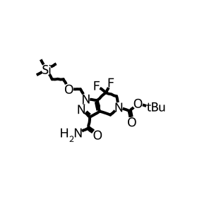 CC(C)(C)OC(=O)N1Cc2c(C(N)=O)nn(COCC[Si](C)(C)C)c2C(F)(F)C1